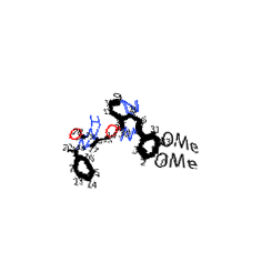 COc1ccc(-c2cc3ncccc3c(OC[C@H]3CN([C@H](C)c4ccccc4)C(=O)N3)n2)cc1OC